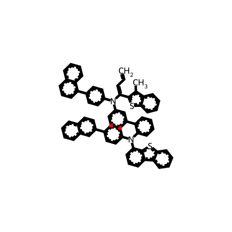 C=C/C=C(\c1sc2ccccc2c1C)N(c1ccc(-c2cccc3ccccc23)cc1)c1cccc(-c2ccccc2N(c2ccc(-c3ccc4ccccc4c3)cc2)c2cccc3c2sc2ccccc23)c1